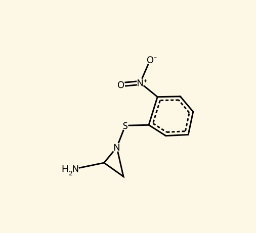 NC1CN1Sc1ccccc1[N+](=O)[O-]